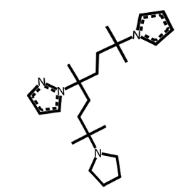 CC(C)(CCC(C)(CCC(C)(C)n1cccc1)n1cccn1)N1CCCC1